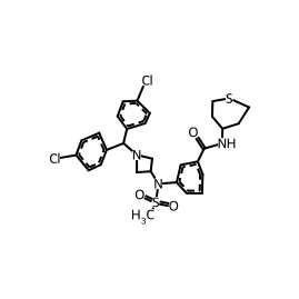 CS(=O)(=O)N(c1cccc(C(=O)NC2CCSCC2)c1)C1CN(C(c2ccc(Cl)cc2)c2ccc(Cl)cc2)C1